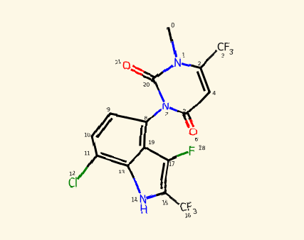 Cn1c(C(F)(F)F)cc(=O)n(-c2ccc(Cl)c3[nH]c(C(F)(F)F)c(F)c23)c1=O